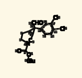 CC(C)(C)OC(=O)N1CCC2C(C1)C2(C=O)c1ccc(Cl)c(Cl)c1